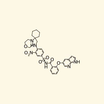 O=C(NS(=O)(=O)c1ccc(NCC2(N3CCOCC3)CCCCC2)c([N+](=O)[O-])c1)c1ccccc1Oc1cnc2[nH]ccc2c1